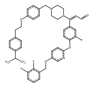 CC(C)c1ccc(CCOc2ccc(CN3CCN(/C(=C/C=O)c4ccc(Oc5ccc(OCc6cccc(F)c6F)cn5)c(F)c4)CC3)cc2)cc1